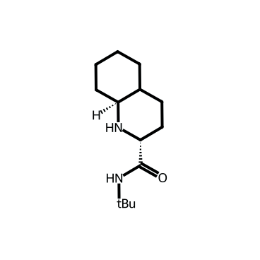 CC(C)(C)NC(=O)[C@H]1CCC2CCCC[C@@H]2N1